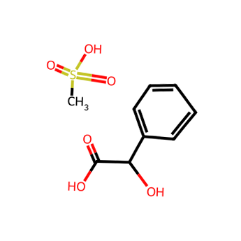 CS(=O)(=O)O.O=C(O)C(O)c1ccccc1